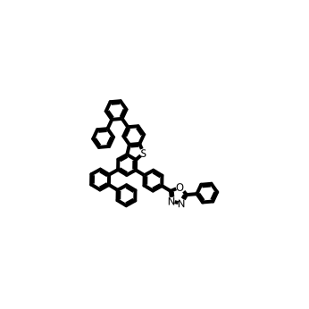 c1ccc(-c2nnc(-c3ccc(-c4cc(-c5ccccc5-c5ccccc5)cc5c4sc4ccc(-c6ccccc6-c6ccccc6)cc45)cc3)o2)cc1